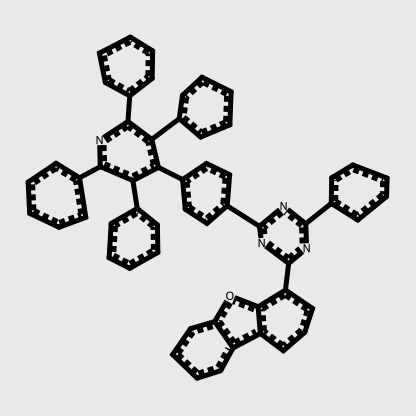 c1ccc(-c2nc(-c3ccc(-c4c(-c5ccccc5)c(-c5ccccc5)nc(-c5ccccc5)c4-c4ccccc4)cc3)nc(-c3cccc4c3oc3ccccc34)n2)cc1